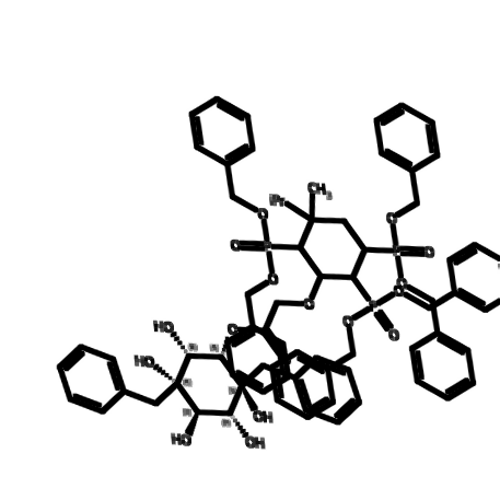 CC(C)C1(C)CC(P(=O)(OCc2ccccc2)OCc2ccccc2)C(P(=O)(OCc2ccccc2)OCc2ccccc2)C(OCC(=O)O[C@H]2[C@@H](O)[C@](O)(Cc3ccccc3)[C@H](O)[C@@H](O)[C@@]2(O)Cc2ccccc2)C1P(=O)(OCc1ccccc1)OCc1ccccc1